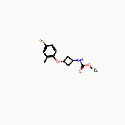 Cc1cc(Br)ccc1O[C@H]1C[C@H](NC(=O)OC(C)(C)C)C1